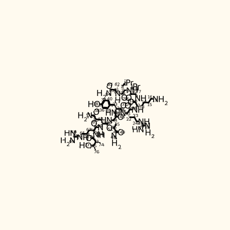 CC(C)C[C@H](NC(=O)[C@H](CC(C)C)NC(=O)[C@H](CCCCN)NC(=O)[C@H](CCCNC(=N)N)NC(=O)[C@H](Cc1ccc(O)cc1)NC(=O)[C@H](CCC(N)=O)NC(=O)[C@H](CCC(N)=O)NC(=O)[C@H](CCCNC(=N)N)NC(=O)[C@@H](C)[C@@H](C)O)C(=O)N[C@@H](C)C(N)=O